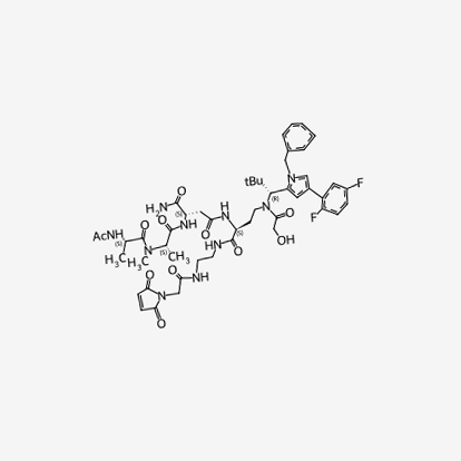 CC(=O)N[C@@H](C)C(=O)N(C)[C@@H](C)C(=O)N[C@@H](CC(=O)N[C@@H](CCN(C(=O)CO)[C@@H](c1cc(-c2cc(F)ccc2F)cn1Cc1ccccc1)C(C)(C)C)C(=O)NCCNC(=O)CN1C(=O)C=CC1=O)C(N)=O